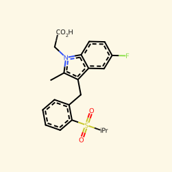 Cc1c(Cc2ccccc2S(=O)(=O)C(C)C)c2cc(F)ccc2n1CC(=O)O